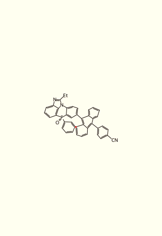 CCc1nc2cccc3c2n1-c1ccc(-c2c4ccccc4c(-c4ccc(C#N)cc4)c4ccccc24)cc1P3(=O)c1ccccc1